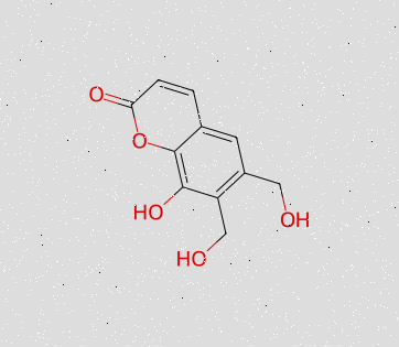 O=c1ccc2cc(CO)c(CO)c(O)c2o1